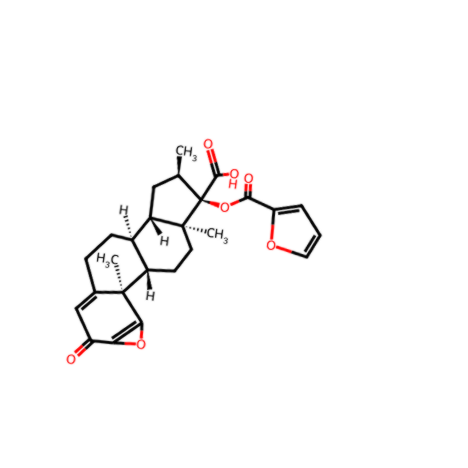 C[C@@H]1C[C@H]2[C@@H]3CCC4=CC(=O)C5=C(O5)[C@]4(C)[C@H]3CC[C@]2(C)[C@@]1(OC(=O)c1ccco1)C(=O)O